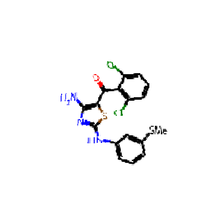 CSc1cccc(Nc2nc(N)c(C(=O)c3c(Cl)cccc3Cl)s2)c1